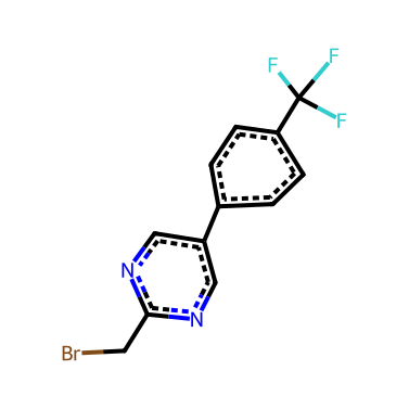 FC(F)(F)c1ccc(-c2cnc(CBr)nc2)cc1